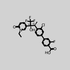 CCn1cc([C@@](O)([C@@H](C)c2ccc(-c3ccc(C(=O)O)c(F)c3)cc2Cl)C(F)(F)F)ccc1=O